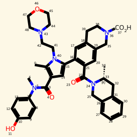 Cc1c(C(=O)N(C)c2ccc(O)cc2)cc(-c2cc3c(cc2C(=O)N2Cc4ccccc4C[C@H]2C)CN(C(=O)O)CC3)n1CCN1CCOCC1